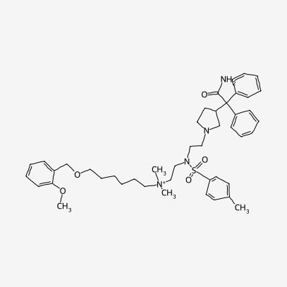 COc1ccccc1COCCCCCC[N+](C)(C)CCN(CCN1CCC(C(C(N)=O)(c2ccccc2)c2ccccc2)C1)S(=O)(=O)c1ccc(C)cc1